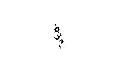 COc1ccc(N2CCc3c(-n4ccc(NC(C)=O)n4)cc(C)nc32)c(C)c1